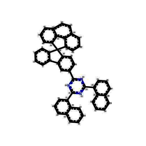 c1ccc2c(c1)-c1cc(-c3nc(-c4cccc5ccccc45)nc(-c4cccc5ccccc45)n3)ccc1C21c2cccc3ccc4cccc1c4c23